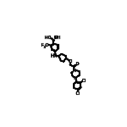 O=C(COC1CCC(Nc2ccc(N(O)O)c(C(F)(F)F)c2)CC1)N1CCN(c2ccc(Cl)cc2Cl)CC1